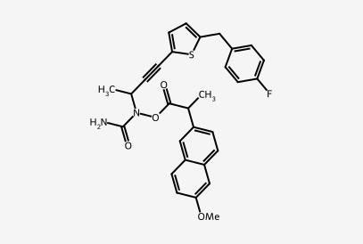 COc1ccc2cc(C(C)C(=O)ON(C(N)=O)C(C)C#Cc3ccc(Cc4ccc(F)cc4)s3)ccc2c1